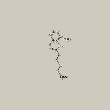 COCCCCC(=O)Oc1c(C)cccc1O